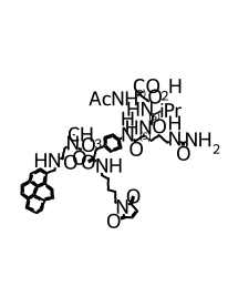 CC(=O)N[C@@H](C(=O)O)C(=O)N[C@H](C(=O)N[C@@H](CCCNC(N)=O)C(=O)Nc1ccc(C(OC(=O)N(C)CC(=O)NCc2ccc3ccc4cccc5ccc2c3c45)C(=O)NCCCCCN2C(=O)C=CC2=O)cc1)C(C)C